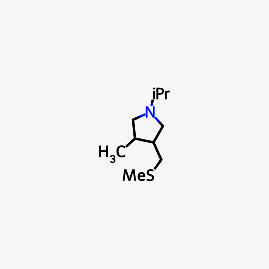 CSCC1CN(C(C)C)CC1C